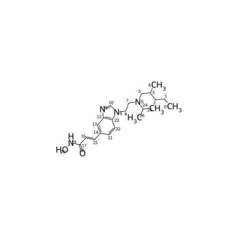 CCCC(C)CN(CCn1cnc2cc(C=CC(=O)NO)ccc21)C(C)C